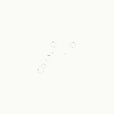 CCC(C(=O)O)c1ccccc1CNC(=O)[C@H](CCCNC(=O)OCc1ccccc1)NC(=O)c1cc2ccccc2n1C